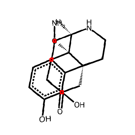 NO[C@@]12CCC(=O)C[C@@]13CCN[C@@H]2Cc1ccc(O)c(O)c13